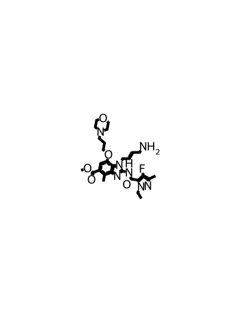 CCn1nc(C)c(F)c1C(=O)Nc1nc2c(C)c(C(=O)OC)cc(OCCCN3CCOCC3)c2n1C/C=C/CN